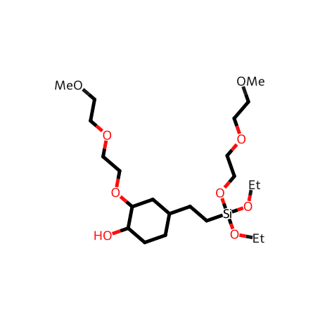 CCO[Si](CCC1CCC(O)C(OCCOCCOC)C1)(OCC)OCCOCCOC